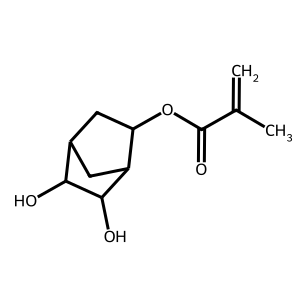 C=C(C)C(=O)OC1CC2CC1C(O)C2O